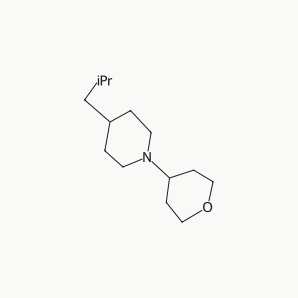 CC(C)CC1CCN(C2CCOCC2)CC1